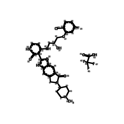 CN1CCC(N2Cc3cc4[nH]c(-c5c(NC[C@@H](O)COc6cc(F)ccc6Cl)cc[nH]c5=O)nc4cc3C2=O)CC1.O=C(O)C(F)(F)F